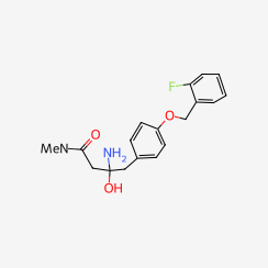 CNC(=O)CC(N)(O)Cc1ccc(OCc2ccccc2F)cc1